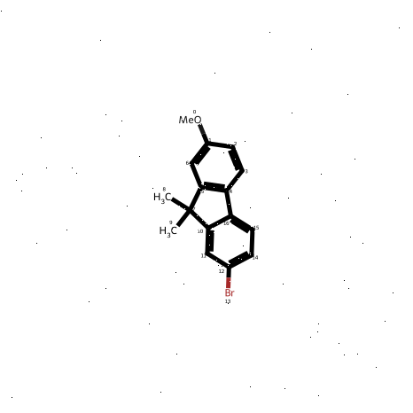 COc1ccc2c(c1)C(C)(C)c1cc(Br)ccc1-2